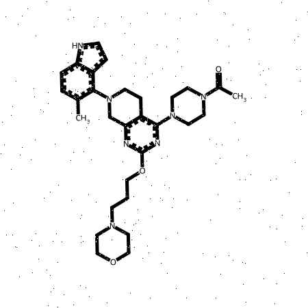 CC(=O)N1CCN(c2nc(OCCCN3CCOCC3)nc3c2CCN(c2c(C)ccc4[nH]ccc24)C3)CC1